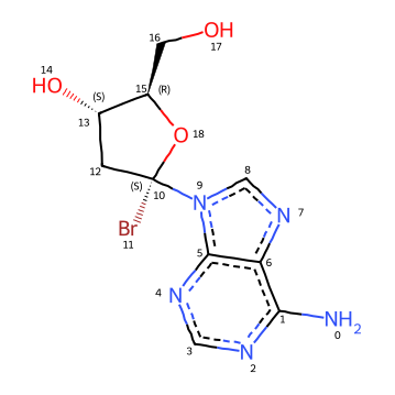 Nc1ncnc2c1ncn2[C@@]1(Br)C[C@H](O)[C@@H](CO)O1